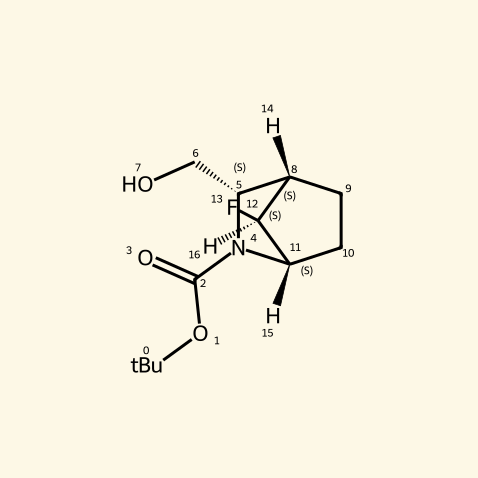 CC(C)(C)OC(=O)N1[C@H](CO)[C@@H]2CC[C@H]1[C@H]2F